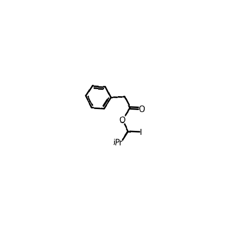 CC(C)C(I)OC(=O)Cc1ccccc1